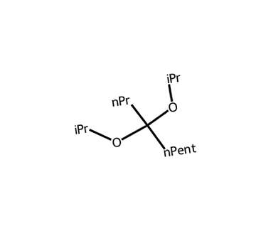 CCCCCC(CCC)(OC(C)C)OC(C)C